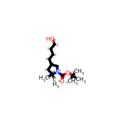 CC(C)(C)OC(=O)N1CC(CCCCO)CC1(C)C